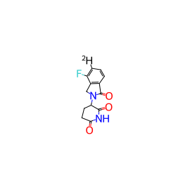 [2H]c1ccc2c(c1F)CN(C1CCC(=O)NC1=O)C2=O